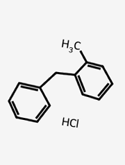 Cc1ccccc1Cc1ccccc1.Cl